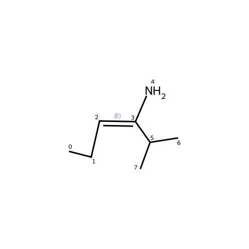 CC/C=C(/N)C(C)C